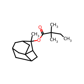 CCC(C)(C)C(=O)OC1(C)C2CC3CC4CC1C4(C3)C2